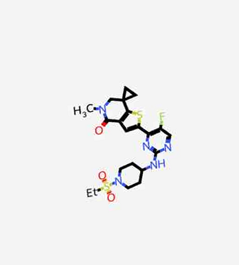 CCS(=O)(=O)N1CCC(Nc2ncc(F)c(-c3cc4c(s3)C3(CC3)CN(C)C4=O)n2)CC1